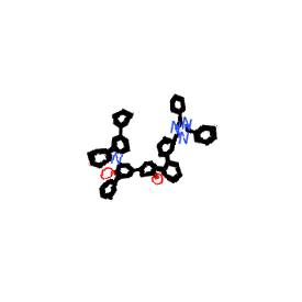 c1ccc(-c2ccc3c(c2)c2ccccc2n3-c2cc(-c3ccc4c(c3)oc3cccc(-c5cccc(-c6nc(-c7ccccc7)nc(-c7ccccc7)n6)c5)c34)cc3c2oc2ccccc23)cc1